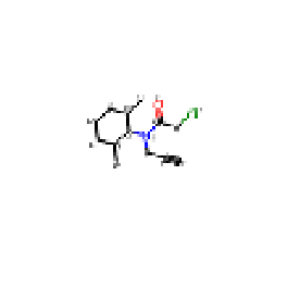 C#CCN(C(=O)CCl)C1C(C)CCCC1C